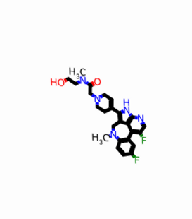 CN(CCO)C(=O)CN1CC=C(c2[nH]c3ncc(F)c4c3c2CN(C)c2ccc(F)cc2-4)CC1